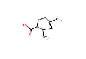 CC1=CC(C)C(C(=O)O)CC1